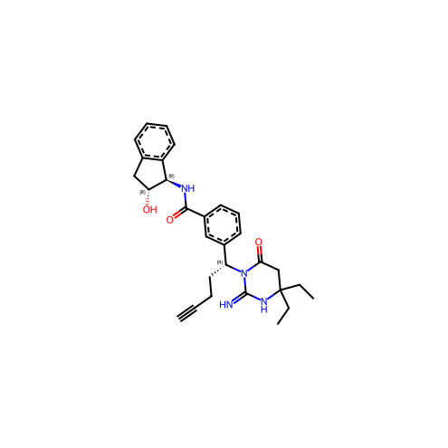 C#CCC[C@H](c1cccc(C(=O)N[C@@H]2c3ccccc3C[C@H]2O)c1)N1C(=N)NC(CC)(CC)CC1=O